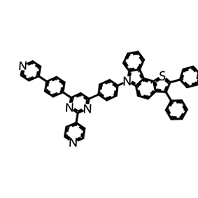 c1ccc(-c2sc3c(ccc4c3c3ccccc3n4-c3ccc(-c4cc(-c5ccc(-c6ccncc6)cc5)nc(-c5ccncc5)n4)cc3)c2-c2ccccc2)cc1